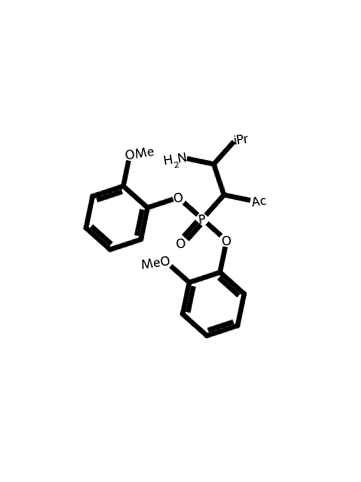 COc1ccccc1OP(=O)(Oc1ccccc1OC)C(C(C)=O)C(N)C(C)C